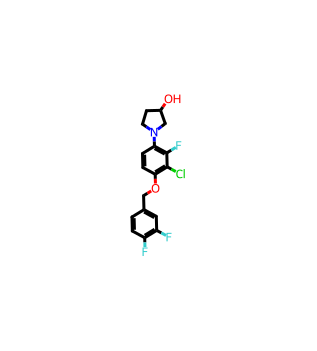 OC1CCN(c2ccc(OCc3ccc(F)c(F)c3)c(Cl)c2F)C1